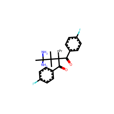 CCCC(C(=O)c1ccc(F)cc1)(C(=O)c1ccc(F)cc1)C(C)(C)C(C)(N)N